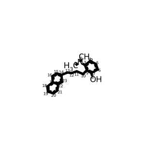 CN(C)c1cccc(O)c1CCCCc1ccc2ccccc2c1